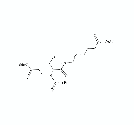 CCCC(=O)N(CCC(=O)OC)C(CC(C)C)C(=O)NCCCCCC(=O)OC